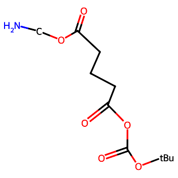 CC(C)(C)OC(=O)OC(=O)CCCC(=O)OCN